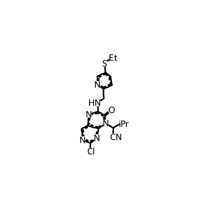 CCSc1ccc(CNc2nc3cnc(Cl)nc3n(C(C#N)C(C)C)c2=O)nc1